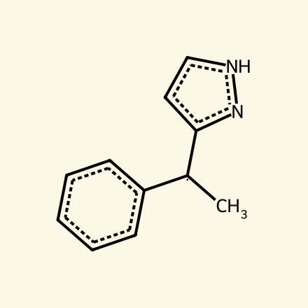 C[C](c1ccccc1)c1cc[nH]n1